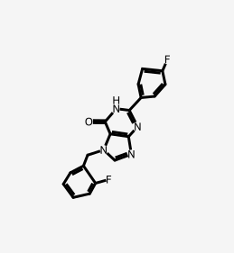 O=c1[nH]c(-c2ccc(F)cc2)nc2ncn(Cc3ccccc3F)c12